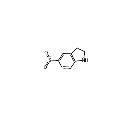 O=[SH](=O)c1ccc2c(c1)CCN2